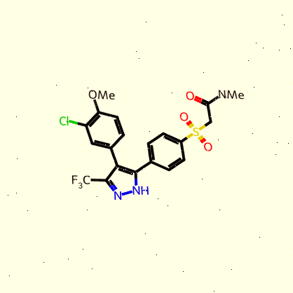 CNC(=O)CS(=O)(=O)c1ccc(-c2[nH]nc(C(F)(F)F)c2-c2ccc(OC)c(Cl)c2)cc1